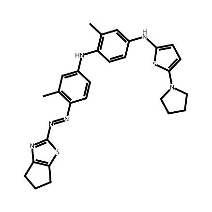 Cc1cc(Nc2ccc(Nc3ccc(N4CCCC4)s3)cc2C)ccc1/N=N/c1nc2c(s1)CCC2